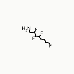 NCC(F)C(F)C(F)CCCCF